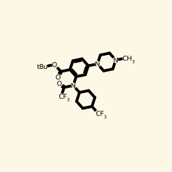 CN1CCN(c2ccc(C(=O)OC(C)(C)C)c(N(C(=O)C(F)(F)F)C3CCC(C(F)(F)F)CC3)c2)CC1